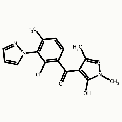 Cc1nn(C)c(O)c1C(=O)c1ccc(C(F)(F)F)c(-n2cccn2)c1Cl